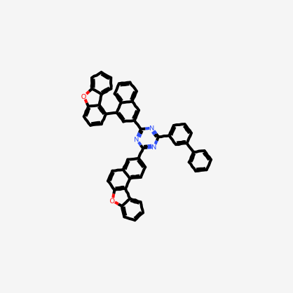 c1ccc(-c2cccc(-c3nc(-c4cc(-c5cccc6oc7ccccc7c56)c5ccccc5c4)nc(-c4ccc5c(ccc6oc7ccccc7c65)c4)n3)c2)cc1